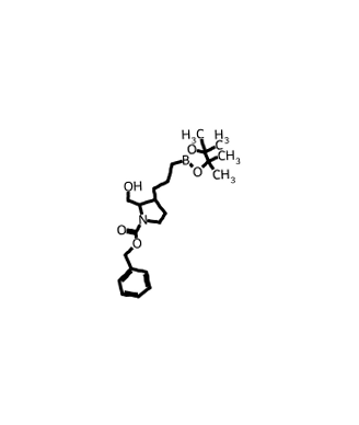 CC1(C)OB(CCCC2CCN(C(=O)OCc3ccccc3)C2CO)OC1(C)C